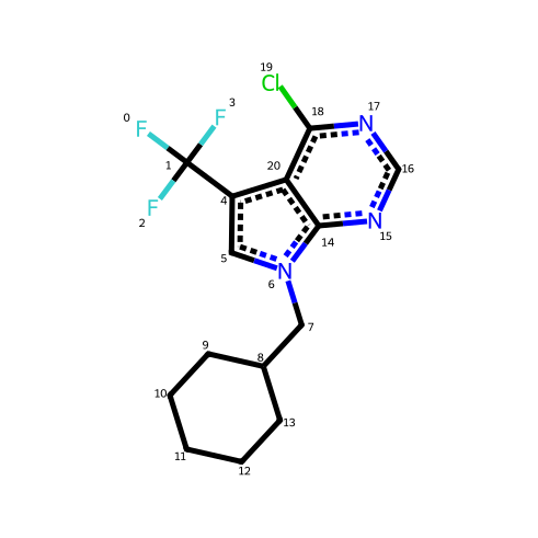 FC(F)(F)c1cn(CC2CCCCC2)c2ncnc(Cl)c12